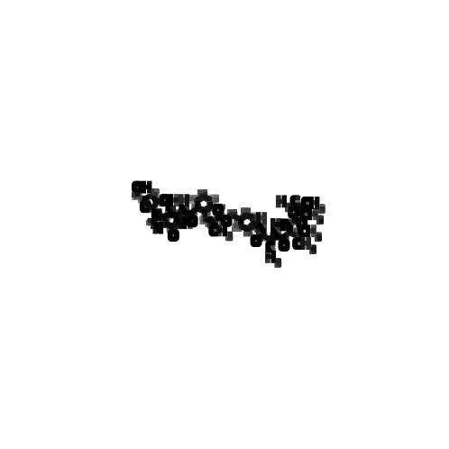 CC(C)[C@H](NC(=O)OC(C)(C)C)C(=O)N[C@@H](C)C(=O)Nc1ccc(COC(=O)N(C)Cc2ccccc2C(=O)Nc2nc3c(ncn3[C@@H]3O[C@H](CO)C[C@H]3O)c(=O)[nH]2)cc1